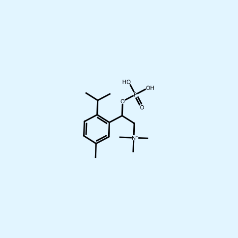 Cc1ccc(C(C)C)c(C(C[N+](C)(C)C)OP(=O)(O)O)c1